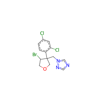 Clc1ccc(C2(Cn3cncn3)COCC2Br)c(Cl)c1